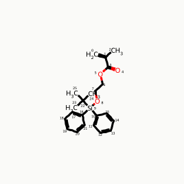 C=C(C)C(=O)OCCO[Si](c1ccccc1)(c1ccccc1)C(C)(C)C